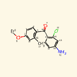 CCOc1ccc(C(=O)c2ccc(N)cc2Cl)c(C)c1